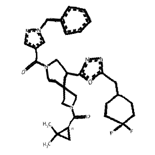 CC1(C)C[C@@H]1C(=O)N1CC2(CN(C(=O)c3cnn(Cc4ccccc4)c3)CC2c2nnc(CC3CCC(F)(F)CC3)o2)C1